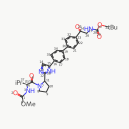 COC(=O)N[C@H](C(=O)N1CCCC1c1ncc(-c2ccc(-c3ccc(C(=O)CNC(=O)OC(C)(C)C)cc3)cc2)[nH]1)C(C)C